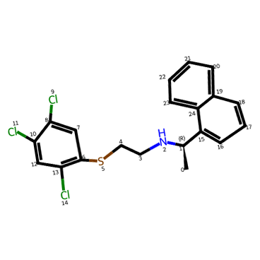 C[C@@H](NCCSc1cc(Cl)c(Cl)cc1Cl)c1cccc2ccccc12